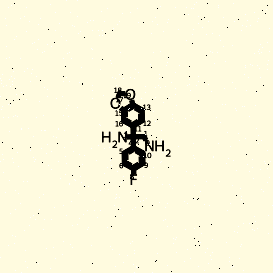 NCC(N)(c1ccc(F)cc1)c1ccc2c(c1)OCO2